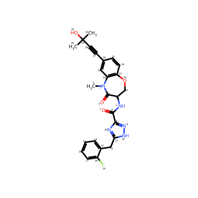 CN1C(=O)C(NC(=O)c2n[nH]c(Cc3ccccc3F)n2)COc2ccc(C#CC(C)(C)O)cc21